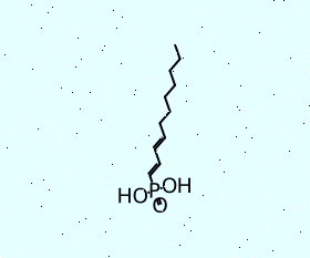 CCCCCCCC=CC=CP(=O)(O)O